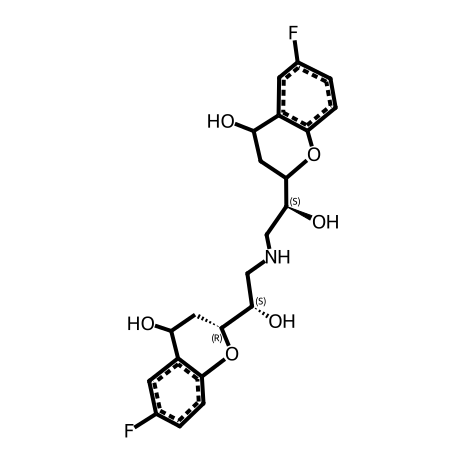 OC1CC([C@@H](O)CNC[C@H](O)[C@H]2CC(O)c3cc(F)ccc3O2)Oc2ccc(F)cc21